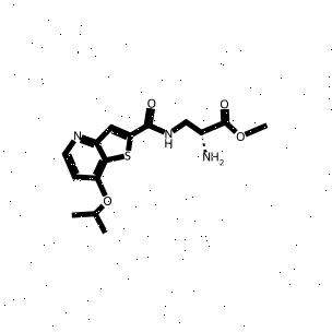 COC(=O)[C@H](N)CNC(=O)c1cc2nccc(OC(C)C)c2s1